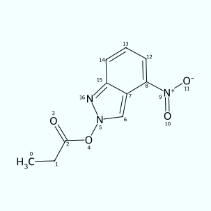 CCC(=O)On1cc2c([N+](=O)[O-])cccc2n1